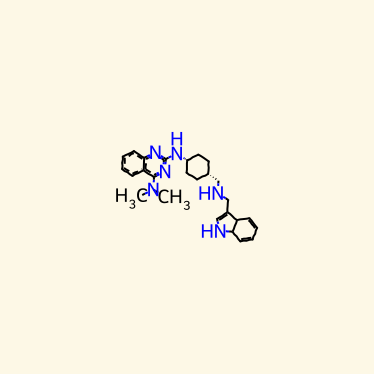 CN(C)c1nc(N[C@H]2CC[C@@H](CNCC3=CNC4C=CC=CC34)CC2)nc2ccccc12